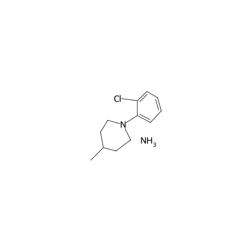 CC1CCN(c2ccccc2Cl)CC1.N